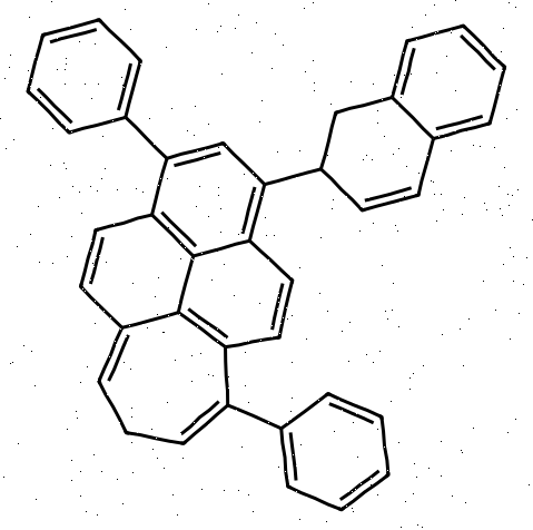 C1=CC(c2cc(-c3ccccc3)c3ccc4c5c(ccc2c35)C(c2ccccc2)=CCC=4)Cc2ccccc21